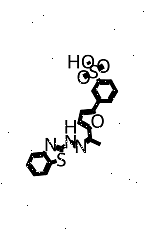 CC(=NNc1nc2ccccc2s1)c1ccc(-c2cccc(S(=O)(=O)O)c2)o1